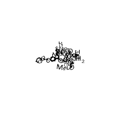 C=C[C@@H]1C[C@]1(NC(=O)[C@@H]1C[C@@H](Oc2cc(-c3csc(NC(C)C)n3)nc3cc(OCCOC4CCCCO4)ccc23)CN1C(=O)[C@@H](NC(=O)O[C@@H]1C[C@@H]2C[C@@H]2C1)C(C)(C)C)C(=O)OC